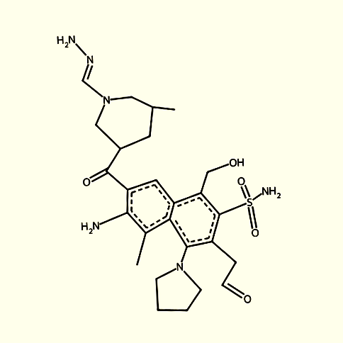 Cc1c(N)c(C(=O)C2CC(C)CN(C=NN)C2)cc2c(CO)c(S(N)(=O)=O)c(CC=O)c(N3CCCC3)c12